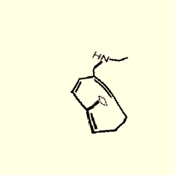 CNC1=C/CC/C=C(Cl)/C=C\1